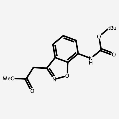 COC(=O)Cc1noc2c(NC(=O)OC(C)(C)C)cccc12